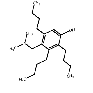 CCCCc1cc(O)c(CCCC)c(CCCC)c1CN(C)C